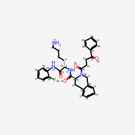 NCCCC[C@H](NC(=O)[C@@H]1Cc2ccccc2CN1C(=O)CCC(=O)c1ccccc1)C(=O)Nc1ccccc1F